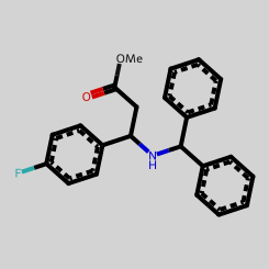 COC(=O)CC(NC(c1ccccc1)c1ccccc1)c1ccc(F)cc1